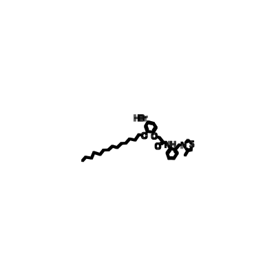 Br.CCCCCCCCCCCCCCOc1ccccc1OCC(=O)Nc1ccccc1CN1CSC=C1C